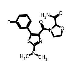 CN(C)c1nc(C(=O)N2CCOC2C(N)=O)c(-c2cccc(F)c2)s1